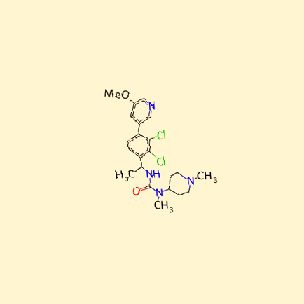 COc1cncc(-c2ccc(C(C)NC(=O)N(C)C3CCN(C)CC3)c(Cl)c2Cl)c1